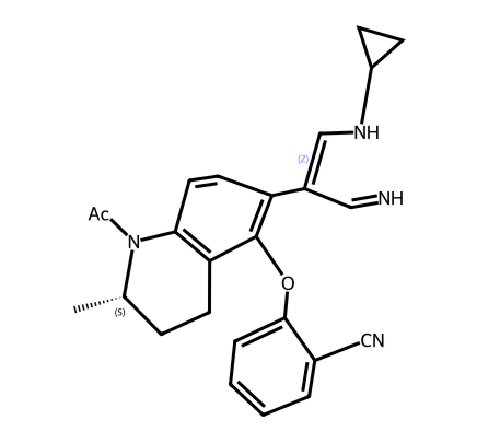 CC(=O)N1c2ccc(/C(C=N)=C/NC3CC3)c(Oc3ccccc3C#N)c2CC[C@@H]1C